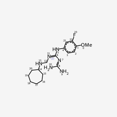 COc1ccc(N/C(N=C(N)N)=N/CNC2CCCCCC2)cc1F